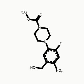 CC(C)(C)OC(=O)N1CCN(c2cc(CO)c([N+](=O)[O-])cc2F)CC1